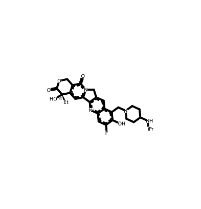 CC[C@@]1(O)C(=O)OCc2c1cc1n(c2=O)Cc2cc3c(CN4CCC(NC(C)C)CC4)c(O)c(F)cc3nc2-1